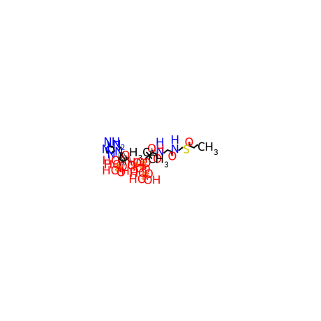 CCCC(=O)SCCNC(=O)CCNC(=O)[C@H](O)C(C)(C)COP(=O)(O)OP(=O)(O)OC[C@H]1O[C@@H](n2cnc3c(N)ncnc32)[C@H](O)[C@@H]1OP(=O)(O)O.O=P(O)(O)O